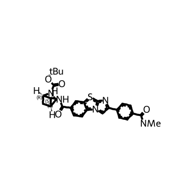 CNC(=O)c1ccc(-c2cn3c(n2)sc2cc(C(=O)N[C@H]4[C@@H]5C[C@H]4N(C(=O)OC(C)(C)C)C5)ccc23)cc1